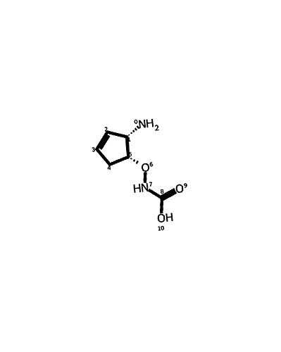 N[C@H]1C=CC[C@H]1ONC(=O)O